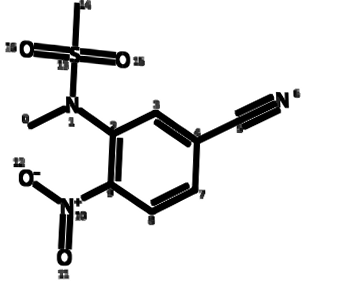 CN(c1cc(C#N)ccc1[N+](=O)[O-])S(C)(=O)=O